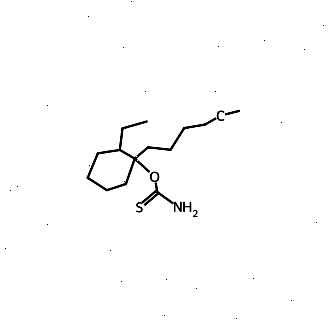 CCCCCCC1(OC(N)=S)CCCCC1CC